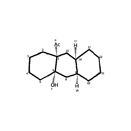 CC(=O)[C@@]12CCCC[C@]1(O)C[C@@H]1CCCC[C@@H]1C2